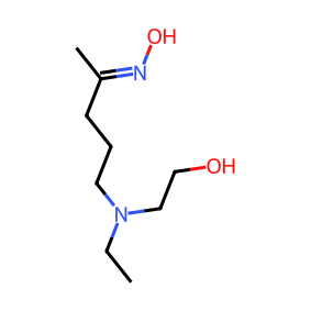 CCN(CCO)CCCC(C)=NO